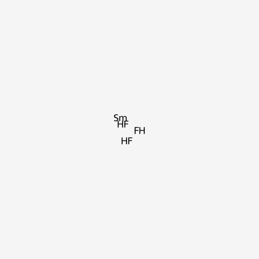 F.F.F.[Sm]